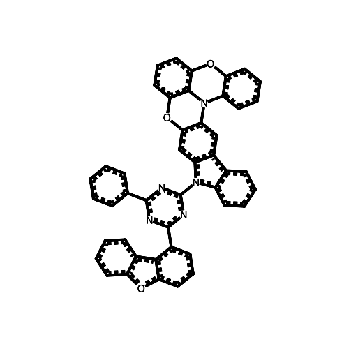 c1ccc(-c2nc(-c3cccc4oc5ccccc5c34)nc(-n3c4ccccc4c4cc5c(cc43)Oc3cccc4c3N5c3ccccc3O4)n2)cc1